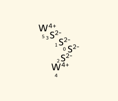 [S-2].[S-2].[S-2].[S-2].[W+4].[W+4]